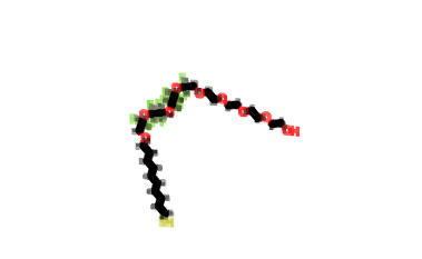 OCCOCCOCCOCCOCC(F)(F)OC(F)(F)C(F)(F)OC(F)(F)C(F)(F)OC(F)(F)COCCCCCCCCCCS